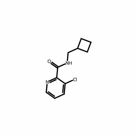 O=C(NCC1CCC1)c1ncccc1Cl